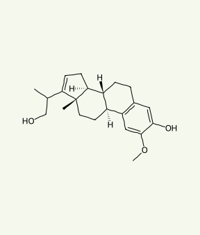 COc1cc2c(cc1O)CC[C@@H]1[C@@H]2CC[C@]2(C)C(C(C)CO)=CC[C@@H]12